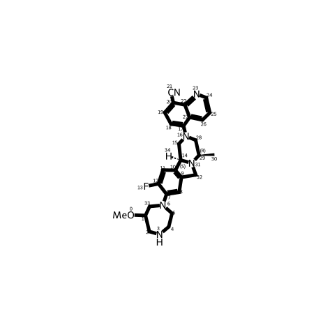 COC1CNCCN(c2cc3c(cc2F)[C@H]2CN(c4ccc(C#N)c5ncccc45)C[C@@H](C)N2C3)C1